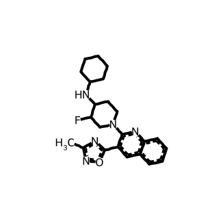 Cc1noc(-c2cc3ccccc3nc2N2CCC(NC3CCCCC3)C(F)C2)n1